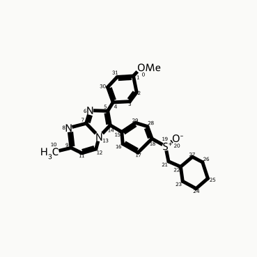 COc1ccc(-c2nc3nc(C)ccn3c2-c2ccc([S+]([O-])CC3CCCCC3)cc2)cc1